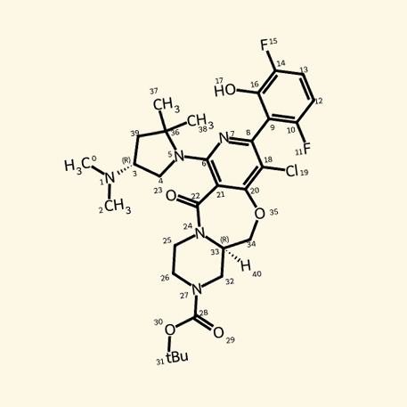 CN(C)[C@H]1CN(c2nc(-c3c(F)ccc(F)c3O)c(Cl)c3c2C(=O)N2CCN(C(=O)OC(C)(C)C)C[C@@H]2CO3)C(C)(C)C1